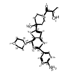 CC(O)C(=O)N1CCC(O)(c2cc3nc(-c4cnc(N)nc4)nc(N4CCOCC4)c3s2)CC1